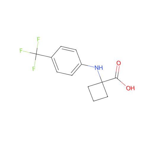 O=C(O)C1(Nc2ccc(C(F)(F)F)cc2)CCC1